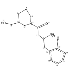 NC(CC(=O)N1CCCC(CO)C1)Cc1ccccc1F